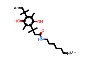 CNCCCCCCNC(=O)CC(C)(C)c1c(C)c(O)c(C(C)(C)CC(C)=O)c(C)c1O